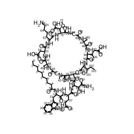 CCCCCCCCCC(=O)NC(Cc1c[nH]c2ccccc12)C(=O)NC(CCC(=O)O)C(=O)NC(C(=O)NC1C(=O)N(C)CC(=O)NC(C)C(=O)NC(CC(=O)O)C(=O)NC(CCCCN)C(=O)NC(C(OC)C(=O)O)C(=O)NCC(=O)NC(C)C(=O)NC(C(C)CC(=O)O)C(=O)NC(C(C)CC)C(=O)OC1C)C(O)C(N)=O